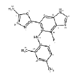 Cc1ccc(Nc2c(-c3nnc(N)o3)cc3[nH]cnc3c2F)c(C)c1